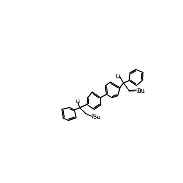 [Li][C](CC(C)CC)(c1ccccc1)c1ccc(-c2ccc([C]([Li])(CC(C)CC)c3ccccc3)cc2)cc1